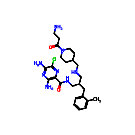 Cc1ccccc1CC(CNCC1CCN(C(=O)CCN)CC1)CNC(=O)c1nc(Cl)c(N)nc1N